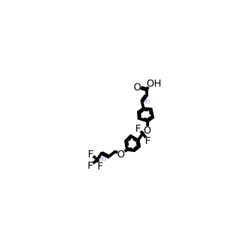 O=C(O)/C=C/c1ccc(OC(F)(F)c2ccc(OC/C=C/C(F)(F)F)cc2)cc1